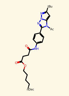 CCCCCCCCCCCCCCOC(=O)CCC(=O)Nc1ccc(-c2nn3nc(C(C)(C)C)cc3n2C(C)=O)cc1